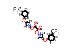 O=C(ON1CC(Oc2cccc(C(F)(F)F)c2)C1)C(=O)ON1CC(Oc2cccc(C(F)(F)F)c2)C1